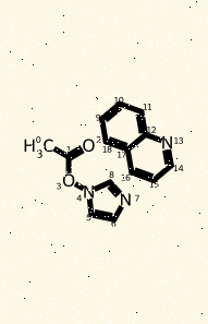 CC(=O)On1ccnc1.c1ccc2ncccc2c1